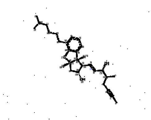 CC#CC[C@H](C)[C@H](O)/C=C/[C@@H]1[C@H]2c3cccc(CCCCN(C)C)c3O[C@H]2C[C@H]1O